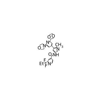 CCC(F)(F)c1cc(C(=O)Nc2cnc(C)c(-c3cc(C4COCCO4)nc(N4CCOCC4)c3)c2)ccn1